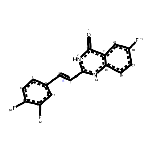 O=c1[nH]c(/C=C/c2ccc(F)c(F)c2)nc2ccc(F)cc12